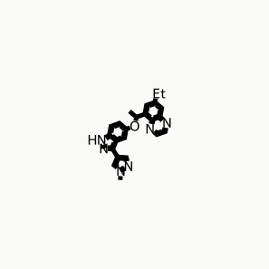 CCc1cc(C(C)Oc2ccc3[nH]nc(-c4cnn(C)c4)c3c2)c2nccnc2c1